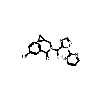 CC(c1ncnn1-c1ncccn1)N(CC1CC1)C(=O)c1cccc(Cl)c1